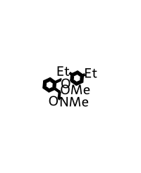 CCc1ccc(OCc2ccccc2C(OC)C(=O)NC)c(CC)c1